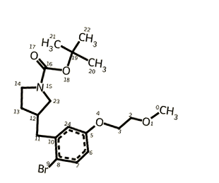 COCCOc1ccc(Br)c(CC2CCN(C(=O)OC(C)(C)C)C2)c1